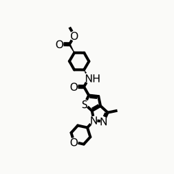 COC(=O)[C@H]1CC[C@H](NC(=O)c2cc3c(C)nn(C4CCOCC4)c3s2)CC1